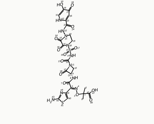 CC(C)(ON=C(C(=O)N[C@H]1CN(C(=O)NS(=O)(=O)N2CCN(NC(=O)c3cc(=O)c(O)c[nH]3)C(=O)C2=O)C1=O)c1csc(N)n1)C(=O)O